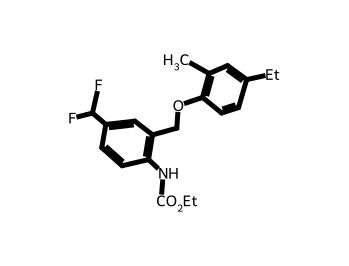 CCOC(=O)Nc1ccc(C(F)F)cc1COc1ccc(CC)cc1C